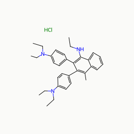 CCNc1c(-c2ccc(N(CC)CC)cc2)c(-c2ccc(N(CC)CC)cc2)c(C)c2ccccc12.Cl